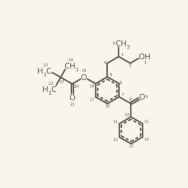 CC(CO)Cc1cc(C(=O)c2ccccc2)ccc1OC(=O)C(C)(C)C